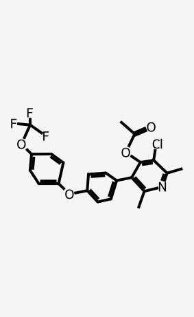 CC(=O)Oc1c(Cl)c(C)nc(C)c1-c1ccc(Oc2ccc(OC(F)(F)F)cc2)cc1